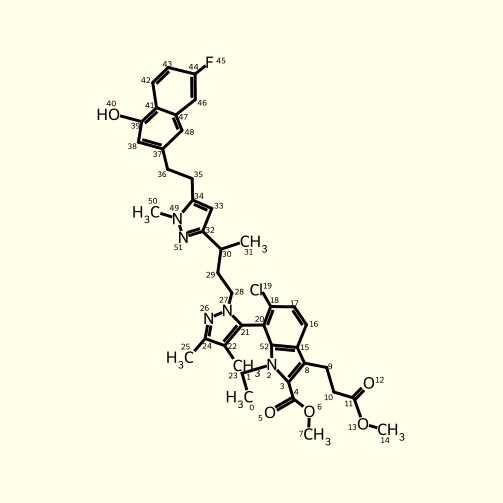 CCn1c(C(=O)OC)c(CCC(=O)OC)c2ccc(Cl)c(-c3c(C)c(C)nn3CCC(C)c3cc(CCc4cc(O)c5ccc(F)cc5c4)n(C)n3)c21